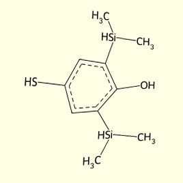 C[SiH](C)c1cc(S)cc([SiH](C)C)c1O